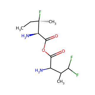 CC[C@@](C)(F)[C@H](N)C(=O)OC(=O)C(N)C(C)C(F)F